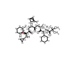 CN(C(=O)[C@H](NC(=O)C(C)(C)C)C1CCCCC1)[C@@H](CC12CC(C1)C2)C(=O)N[C@@H](C[C@@H]1CCCNC1=O)C(=O)C(=O)NC1CC1